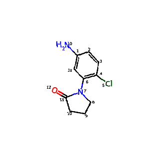 Nc1ccc(Cl)c(N2CCCC2=O)c1